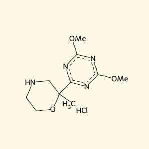 COc1nc(OC)nc(C2(C)CNCCO2)n1.Cl